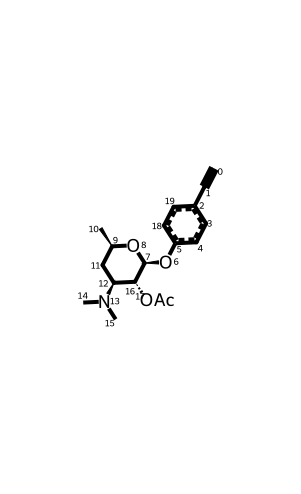 C#Cc1ccc(O[C@@H]2O[C@H](C)C[C@H](N(C)C)[C@H]2OC(C)=O)cc1